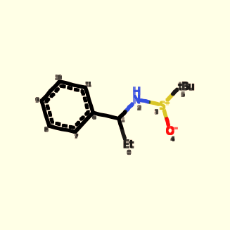 CCC(N[S+]([O-])C(C)(C)C)c1ccccc1